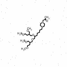 COCCC(COC)COCC(CCCCCN1CCN(CC(C)=O)CC1)OCC(CCOC)COC